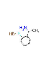 Br.CC(N)c1ccccc1F